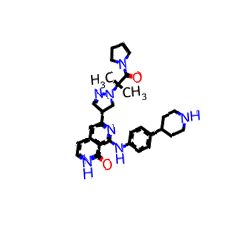 CC(C)(C(=O)N1CCCC1)N1CC(c2cc3cc[nH]c(=O)c3c(Nc3ccc(C4CCNCC4)cc3)n2)C=N1